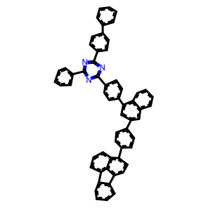 c1ccc(-c2ccc(-c3nc(-c4ccccc4)nc(-c4ccc(-c5cc(-c6ccc(-c7ccc8c9c(cccc79)-c7ccccc7-8)cc6)cc6ccccc56)cc4)n3)cc2)cc1